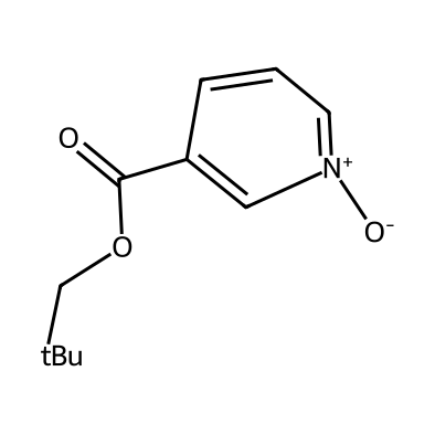 CC(C)(C)COC(=O)c1ccc[n+]([O-])c1